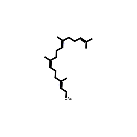 CC(=O)OC/C=C(\C)CCC=C(C)CC/C=C(\C)CCC=C(C)C